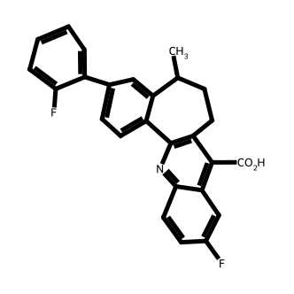 CC1CCc2c(nc3ccc(F)cc3c2C(=O)O)-c2ccc(-c3ccccc3F)cc21